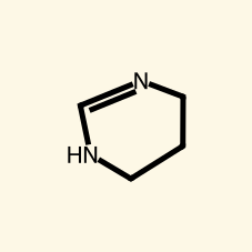 C1=NCCCN1